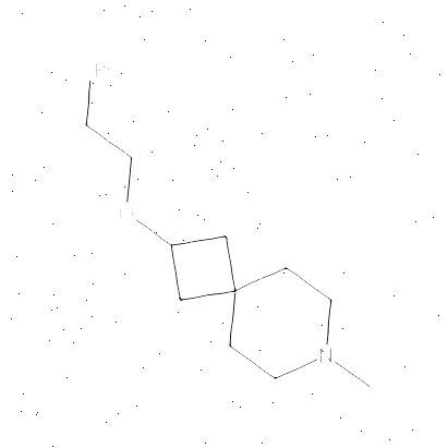 CC(C)CCOC1CC2(CCN(C)CC2)C1